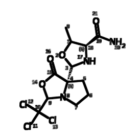 CC1OC([C@]23CCCN2C(C(Cl)(Cl)Cl)OC3=O)N[C@@H]1C(N)=O